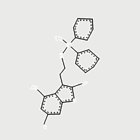 CCc1cc(O)c2c(CCO[Si](c3ccccc3)(c3ccccc3)C(C)(C)C)c(Br)sc2c1